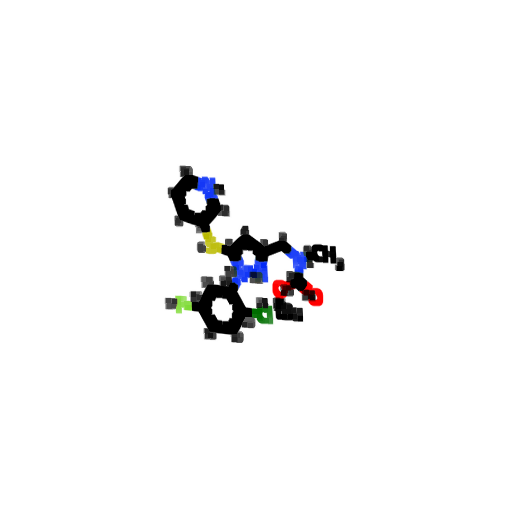 CN(Cc1cc(Sc2cccnc2)n(-c2cc(F)ccc2Cl)n1)C(=O)OC(C)(C)C